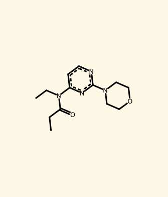 CCC(=O)N(CC)c1ccnc(N2CCOCC2)n1